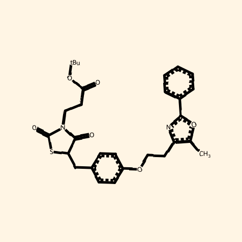 Cc1oc(-c2ccccc2)nc1CCOc1ccc(CC2SC(=O)N(CCC(=O)OC(C)(C)C)C2=O)cc1